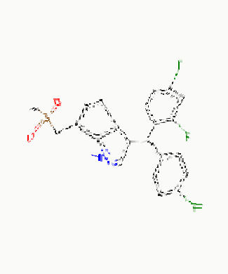 CS(=O)(=O)Cc1cccc2c(C(c3ccc(F)cc3)c3ccc(F)cc3F)c[nH]c12